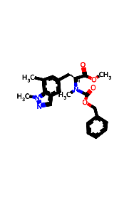 COC(=O)[C@@H](Cc1cc(C)c2c(cnn2C)c1)N(C)C(=O)OCc1ccccc1